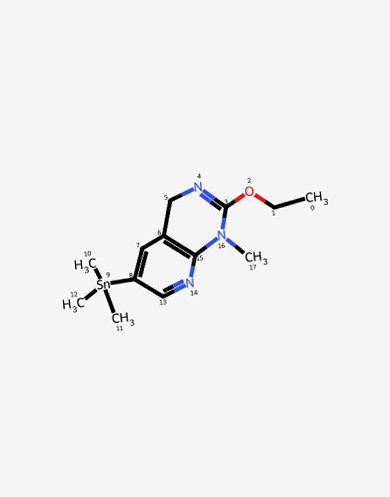 CCOC1=NCc2c[c]([Sn]([CH3])([CH3])[CH3])cnc2N1C